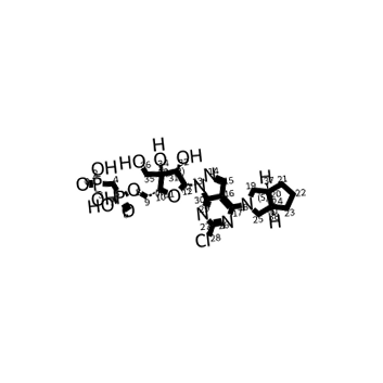 O=P(O)(O)CP(=O)(O)OC[C@H]1O[C@@H](n2ncc3c(N4C[C@H]5CCC[C@H]5C4)nc(Cl)nc32)[C@H](O)[C@@]1(O)CO